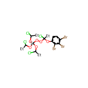 CCC(Cl)O[Si](OOC(Cl)(CC)Oc1ccc(Br)c(Br)c1Br)(OC(Cl)CC)OC(Cl)CC